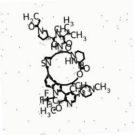 C=CC(=O)N1CC[C@H](C(=O)N(C)[C@H](C(=O)N[C@H]2Cc3csc(n3)-c3ccc4c(c3)c(c(-c3cc(N5CCN(C)CC5)cnc3[C@H](C)OC)n4CC(F)(F)F)CC(C)(C)COC(=O)[C@@H]3CCCN(N3)C2=O)C(C)C)C1